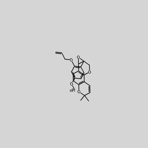 C=CCOc1cc(OCCC)ccc1C12COc3c(ccc4c3C=CC(C)(C)O4)C1O2